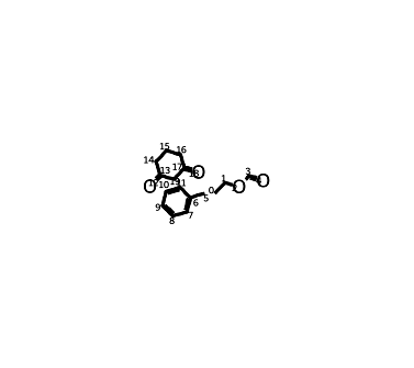 CCOC=O.Cc1ccccc1.O=C1CCCC(=O)C1